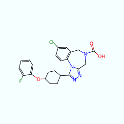 O=C(O)N1Cc2cc(Cl)ccc2-n2c(nnc2C2CCC(Oc3ccccc3F)CC2)C1